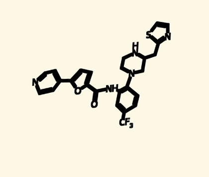 O=C(Nc1cc(C(F)(F)F)ccc1N1CCNC(Cc2nccs2)C1)c1ccc(-c2ccncc2)o1